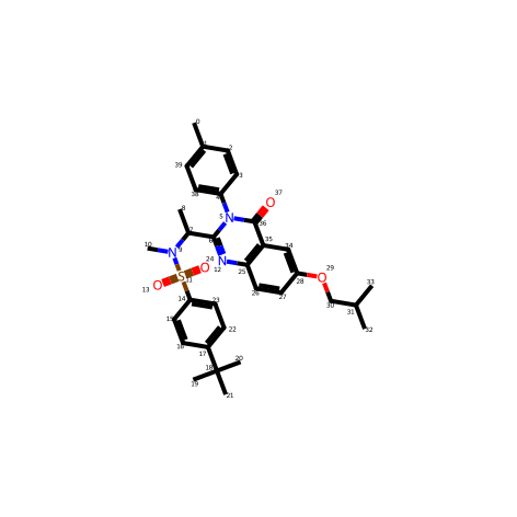 Cc1ccc(-n2c(C(C)N(C)S(=O)(=O)c3ccc(C(C)(C)C)cc3)nc3ccc(OCC(C)C)cc3c2=O)cc1